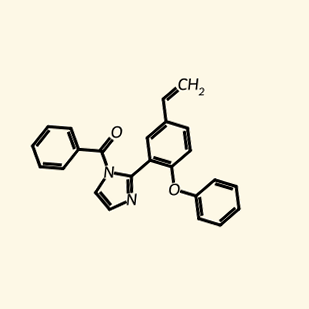 C=Cc1ccc(Oc2ccccc2)c(-c2nccn2C(=O)c2ccccc2)c1